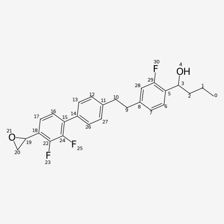 CCCC(O)c1ccc(CCc2ccc(-c3ccc(C4CO4)c(F)c3F)cc2)cc1F